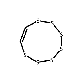 C1=CSSSSSSS1